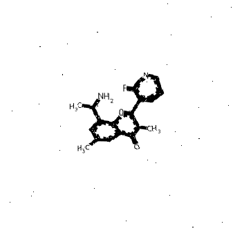 Cc1cc(C(C)N)c2oc(-c3cccnc3F)c(C)c(=O)c2c1